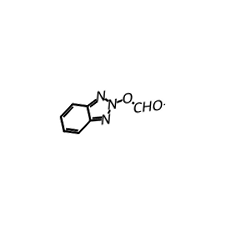 O=[C]On1nc2ccccc2n1